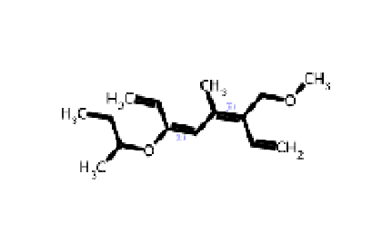 C=C/C(=C\C(C)=C(/C=C)COC)OC(C)CC